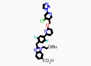 CC(C)COCCn1c(Cc2cc(F)c(-c3cccc(OCc4cnc(-n5ccnn5)cc4Cl)n3)cc2F)nc2ccc(C(=O)O)cc21